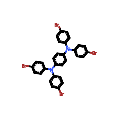 Brc1ccc(N(c2ccc(Br)cc2)c2ccc(N(c3ccc(Br)cc3)c3ccc(Br)cc3)cc2)cc1